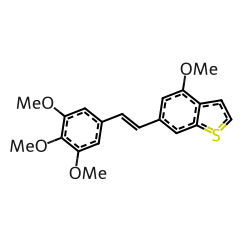 COc1cc(C=Cc2cc(OC)c3ccsc3c2)cc(OC)c1OC